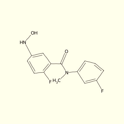 CN(C(=O)c1cc(NO)ccc1F)c1cccc(F)c1